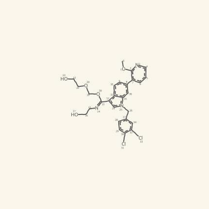 COc1ncccc1-c1ccc2c(/C(=N/CCO)OCOCCO)cn(Cc3ccc(Cl)c(Cl)c3)c2c1